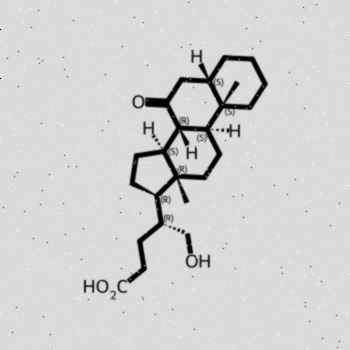 C[C@]12CCCC[C@H]1CC(=O)[C@@H]1[C@@H]2CC[C@]2(C)[C@@H]([C@H](CO)CCC(=O)O)CC[C@@H]12